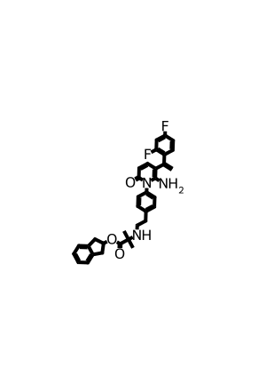 C=C(c1ccc(F)cc1F)c1ccc(=O)n(-c2ccc(CCNC(C)(C)C(=O)OC3Cc4ccccc4C3)cc2)c1N